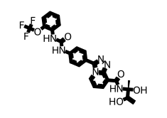 C=C(O)[C@@](C)(O)NC(=O)c1cccn2c(-c3ccc(NC(=O)Nc4ccccc4OC(F)(F)F)cc3)nnc12